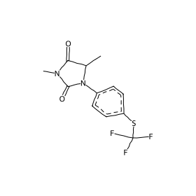 CC1C(=O)N(C)C(=O)N1c1ccc(SC(F)(F)F)cc1